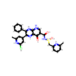 Cc1cc(-c2nc3c(=O)c(C(=O)N[S+]([O-])Cc4cccc(C)n4)c[nH]c3nc2-c2ccccc2)cc(Cl)n1